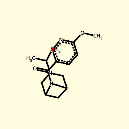 COc1ccc(C(=O)N2C3CC2CN(C(C)C)C3)nn1